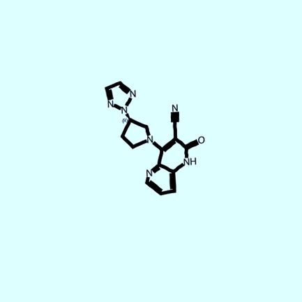 N#Cc1c(N2CC[C@@H](n3nccn3)C2)c2ncccc2[nH]c1=O